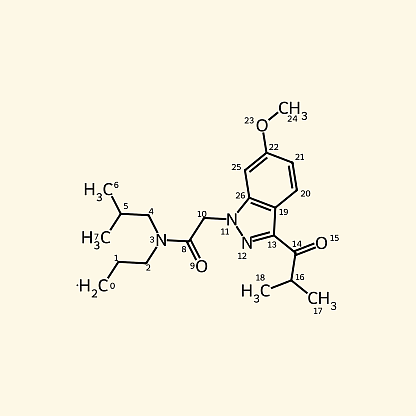 [CH2]CCN(CC(C)C)C(=O)Cn1nc(C(=O)C(C)C)c2ccc(OC)cc21